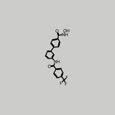 O=C(NO)c1ccc(-c2cccc(NC(=O)c3ccc(C(F)(F)F)cc3)c2)cc1